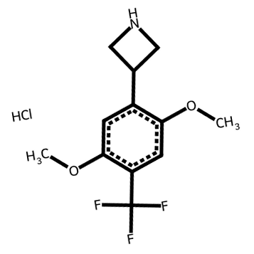 COc1cc(C(F)(F)F)c(OC)cc1C1CNC1.Cl